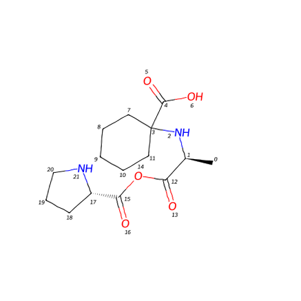 C[C@H](NC1(C(=O)O)CCCCC1)C(=O)OC(=O)[C@@H]1CCCN1